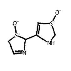 [O-][S+]1C=C(C2N=CC[S+]2[O-])NC1